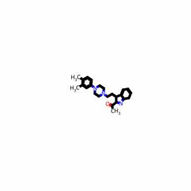 CC(=O)C1N=C2CC=CC=C2C1CCN1CCN(c2ccc(C)c(C)c2)CC1